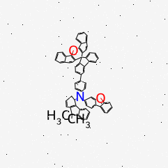 CC1(C)C2=C(c3ccccc31)C(N(c1ccc(-c3ccc4c(c3)-c3ccccc3C43c4ccc5ccccc5c4Oc4c3ccc3ccccc43)cc1)c1ccc3c(c1)oc1ccccc13)CC=C2